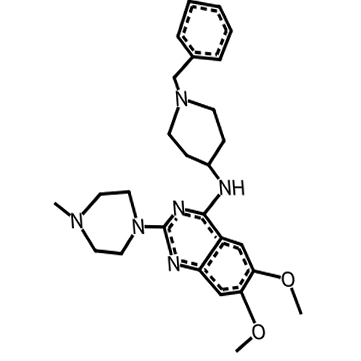 COc1cc2nc(N3CCN(C)CC3)nc(NC3CCN(Cc4ccccc4)CC3)c2cc1OC